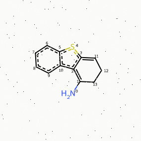 NC1=c2c(sc3ccccc23)=CCC1